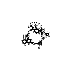 COC(=O)c1c2c3ccc(Cl)c(c3n1C)-c1c(C)nn(C34CC(C3)C4)c1CSCc1cc(n(C)n1)CSc1cc3c(c(c1)OCCC2)NCCC3